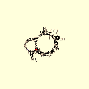 CC(C)C[C@@H]1NC(=O)[C@@H]2CCCN2C(=O)[C@@H]2CSCc3cc(cc(c3)OCCCCCCO/N=C/C(=O)N[C@@H](CCCCN)C(=O)N2)CSC[C@@H](C(N)=O)NC(=O)[C@H](CCC(=O)O)NC(=O)[C@H](Cc2ccc(O)cc2)NC(=O)[C@@H]2CCCN2C(=O)[C@H](C(C)C)NC(=O)[C@H](CC(=O)O)NC1=O